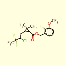 CC1(C)C(C=C(Cl)C(F)(F)C(F)(F)F)C1C(=O)OCc1cccc(OC(F)(F)F)c1F